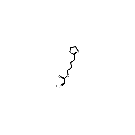 C=CC(=O)OCCCCC1=NCCO1